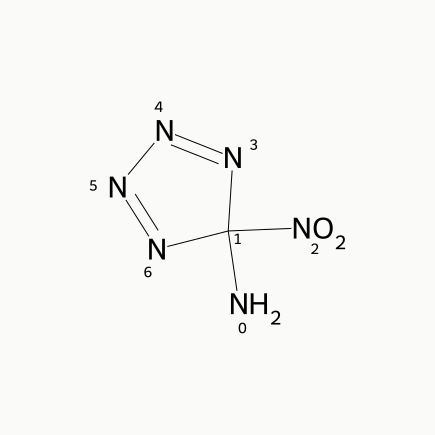 NC1([N+](=O)[O-])N=NN=N1